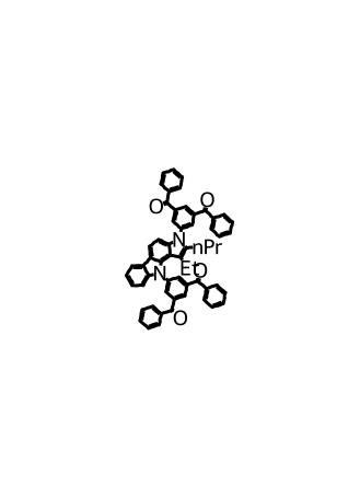 CCCc1c(CC)c2c(ccc3c4ccccc4n(-c4cc(C(=O)c5ccccc5)cc(C(=O)c5ccccc5)c4)c32)n1-c1cc(C(=O)c2ccccc2)cc(C(=O)c2ccccc2)c1